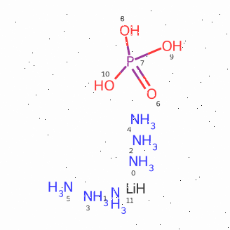 N.N.N.N.N.N.O=P(O)(O)O.[LiH]